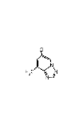 Cc1cc(Cl)cn2ncnc12